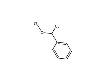 CCC(OCl)c1ccccc1